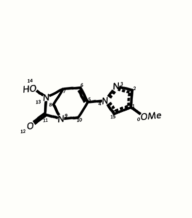 COc1cnn(C2=CC3CN(C2)C(=O)N3O)c1